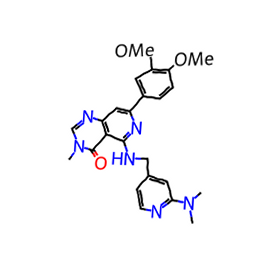 COc1ccc(-c2cc3ncn(C)c(=O)c3c(NCc3ccnc(N(C)C)c3)n2)cc1OC